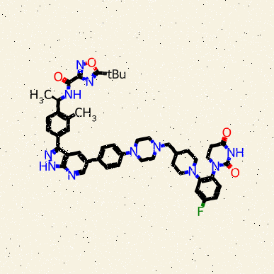 Cc1cc(-c2n[nH]c3ncc(-c4ccc(N5CCN(CC6CCN(c7cc(F)ccc7N7CCC(=O)NC7=O)CC6)CC5)cc4)cc23)ccc1[C@@H](C)NC(=O)c1noc(C(C)(C)C)n1